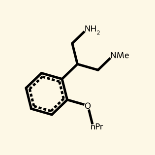 CCCOc1ccccc1C(CN)CNC